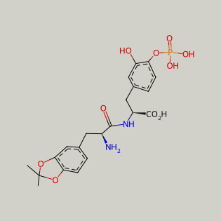 CC1(C)Oc2ccc(C[C@H](N)C(=O)N[C@@H](Cc3ccc(OP(=O)(O)O)c(O)c3)C(=O)O)cc2O1